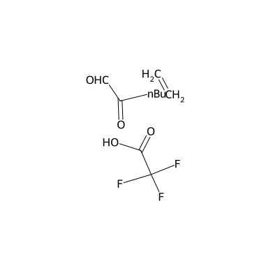 C=C.CCCCC(=O)C=O.O=C(O)C(F)(F)F